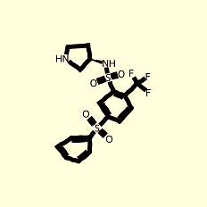 O=S(=O)(N[C@@H]1CCNC1)c1cc(S(=O)(=O)c2ccccc2)ccc1C(F)(F)F